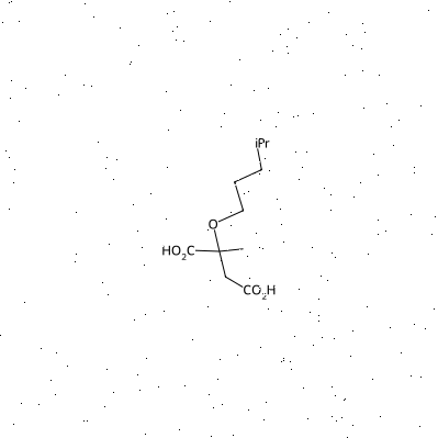 CC(C)CCCOC(C)(CC(=O)O)C(=O)O